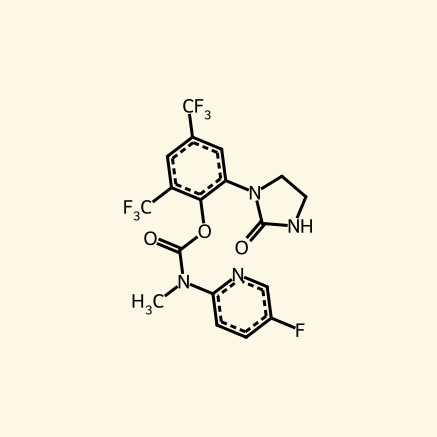 CN(C(=O)Oc1c(N2CCNC2=O)cc(C(F)(F)F)cc1C(F)(F)F)c1ccc(F)cn1